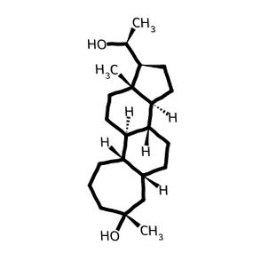 C[C@H](O)[C@H]1CC[C@H]2[C@@H]3CC[C@@H]4C[C@](C)(O)CCC[C@@H]4[C@H]3CC[C@]12C